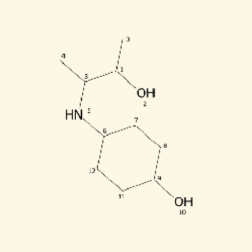 CC(O)C(C)NC1CCC(O)CC1